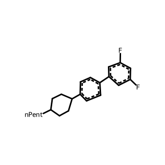 CCCCCC1CCC(c2ccc(-c3cc(F)cc(F)c3)cc2)CC1